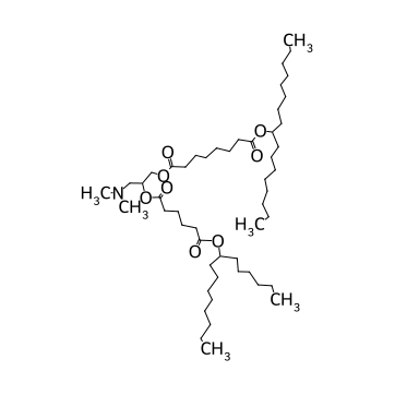 CCCCCCCCC(CCCCCCCC)OC(=O)CCCCCCC(=O)OCC(CN(C)C)OC(=O)CCCCC(=O)OC(CCCCCC)CCCCCCCC